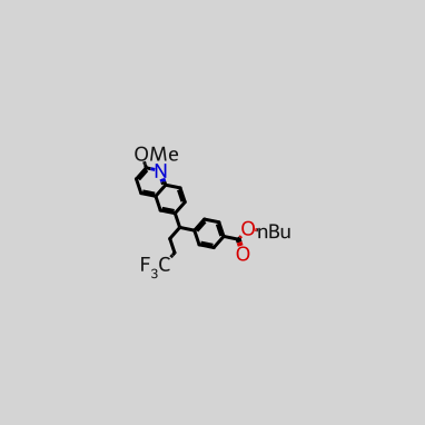 CCCCOC(=O)c1ccc(C(CCC(F)(F)F)c2ccc3nc(OC)ccc3c2)cc1